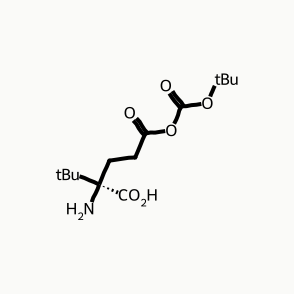 CC(C)(C)OC(=O)OC(=O)CC[C@](N)(C(=O)O)C(C)(C)C